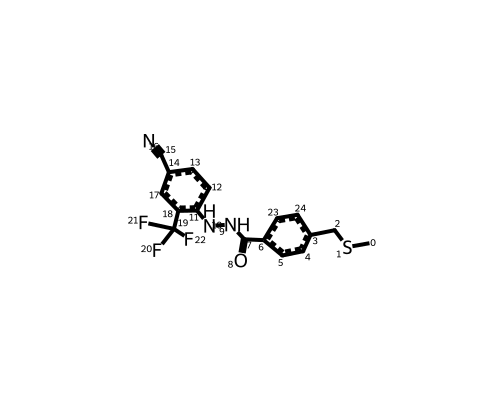 CSCc1ccc(C(=O)NNc2ccc(C#N)cc2C(F)(F)F)cc1